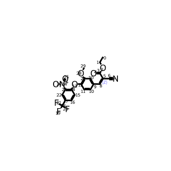 CCOC(=O)/C(C#N)=C\c1ccc(Oc2ccc(C(F)(F)F)cc2[N+](=O)[O-])c(OC)c1